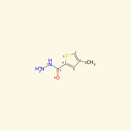 Cc1csc(C(=O)NN)c1